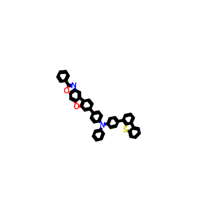 c1ccc(-c2nc3cc4c(cc3o2)oc2cc(-c3ccc(N(c5ccccc5)c5ccc(-c6cccc7c6sc6ccccc67)cc5)cc3)ccc24)cc1